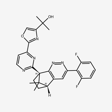 CC(C)(O)c1coc(-c2ccnc([C@@]34CC[C@@H](c5cc(-c6c(F)cccc6F)nnc53)C4(C)C)n2)n1